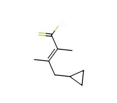 CC(CC1CC1)=C(C)C(=S)S